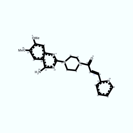 COc1cc2nc(N3CCN(C(=O)/C=C/c4ccccn4)CC3)nc(N)c2cc1OC